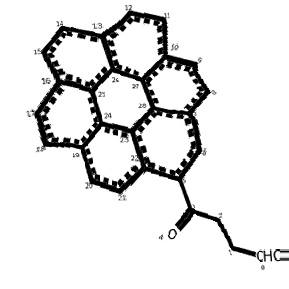 O=CCCC(=O)c1cc2ccc3ccc4ccc5ccc6ccc1c1c6c5c4c3c21